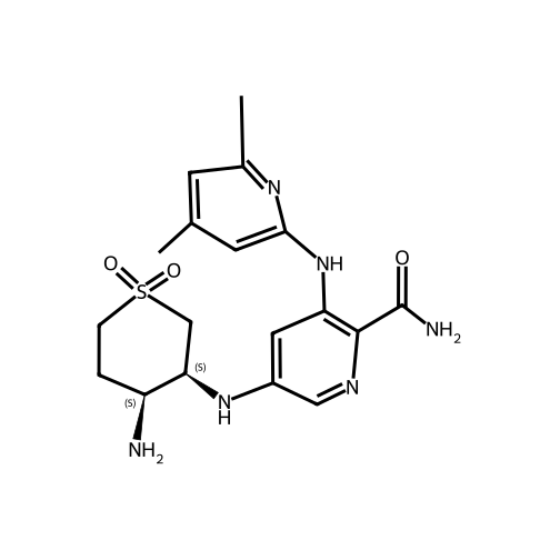 Cc1cc(C)nc(Nc2cc(N[C@@H]3CS(=O)(=O)CC[C@@H]3N)cnc2C(N)=O)c1